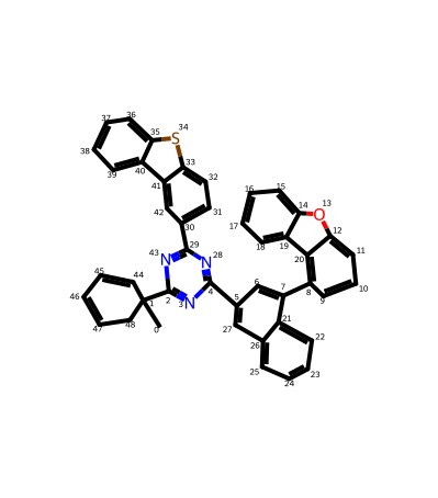 CC1(c2nc(-c3cc(-c4cccc5oc6ccccc6c45)c4ccccc4c3)nc(-c3ccc4sc5ccccc5c4c3)n2)C=CC=CC1